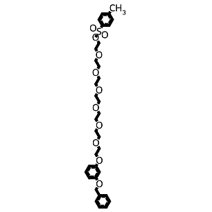 Cc1ccc(S(=O)(=O)OCCOCCOCCOCCOCCOCCOCCOc2cccc(OCc3ccccc3)c2)cc1